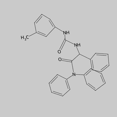 Cc1cccc(NC(=O)NC(C(=O)N(c2ccccc2)c2ccccc2)c2ccccc2)c1